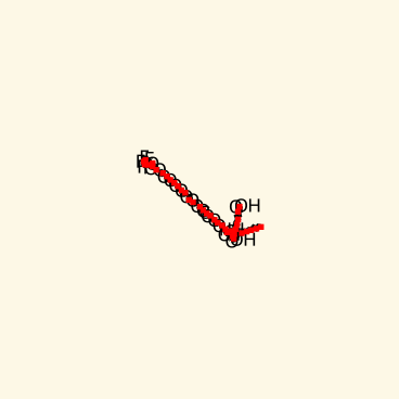 CCCCCCCCCCCN(C(=O)CCCCCCCCCC(=O)O)[C@@H](CCC(=O)NCCOCCOCCOCCOCCOCCOCCOCCOCCOCCOCCOCCOCCC(=O)Oc1c(F)c(F)c(F)c(F)c1F)C(=O)O